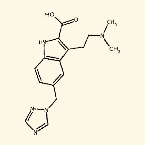 CN(C)CCc1c(C(=O)O)[nH]c2ccc(Cn3cncn3)cc12